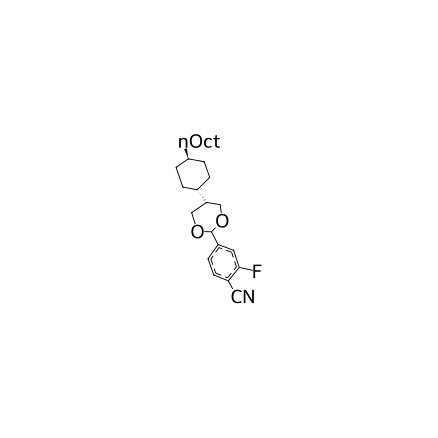 CCCCCCCC[C@H]1CC[C@H](C2COC(c3ccc(C#N)c(F)c3)OC2)CC1